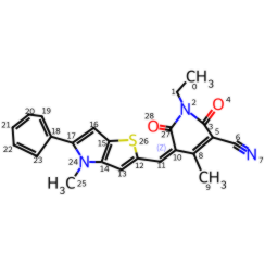 CCN1C(=O)C(C#N)=C(C)/C(=C/c2cc3c(cc(-c4ccccc4)n3C)s2)C1=O